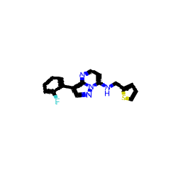 Fc1ccccc1-c1cnn2c(NCc3cccs3)ccnc12